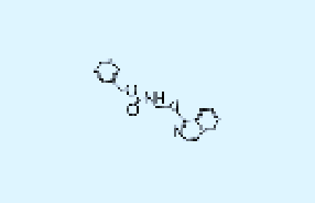 O=C(NCC1CC1c1nccc2ccccc12)OCc1ccccc1